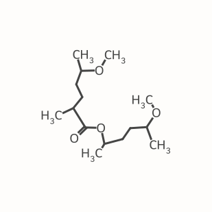 COC(C)CCC(C)OC(=O)C(C)CCC(C)OC